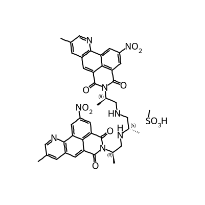 CS(=O)(=O)O.Cc1cnc2c(c1)cc1c3c(cc([N+](=O)[O-])cc32)C(=O)N([C@H](C)CNC[C@H](C)NC[C@@H](C)N2C(=O)c3cc([N+](=O)[O-])cc4c3c(cc3cc(C)cnc34)C2=O)C1=O